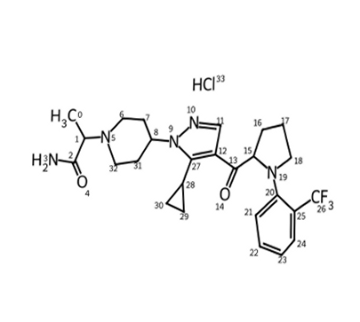 CC(C(N)=O)N1CCC(n2ncc(C(=O)C3CCCN3c3ccccc3C(F)(F)F)c2C2CC2)CC1.Cl